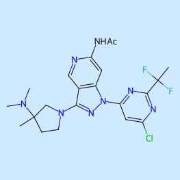 CC(=O)Nc1cc2c(cn1)c(N1CCC(C)(N(C)C)C1)nn2-c1cc(Cl)nc(C(C)(F)F)n1